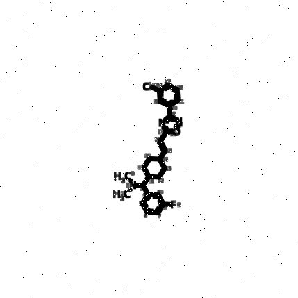 CN(C)C(c1cccc(F)c1)C1CCC(/C=C/c2nc(-c3cccc(Cl)c3)no2)CC1